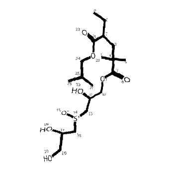 CCC(CC(C)(C)C(=O)OCC(O)C[S+]([O-])CC(O)CO)C(=O)OCC(C)C